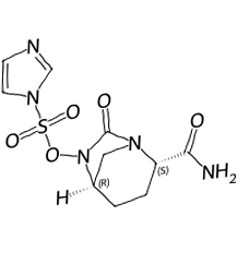 NC(=O)[C@@H]1CC[C@@H]2CN1C(=O)N2OS(=O)(=O)n1ccnc1